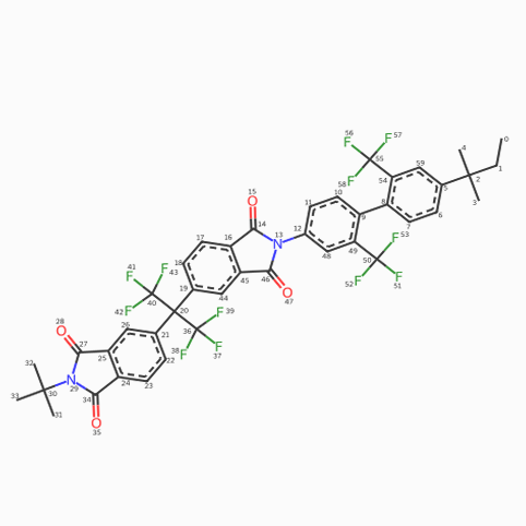 CCC(C)(C)c1ccc(-c2ccc(N3C(=O)c4ccc(C(c5ccc6c(c5)C(=O)N(C(C)(C)C)C6=O)(C(F)(F)F)C(F)(F)F)cc4C3=O)cc2C(F)(F)F)c(C(F)(F)F)c1